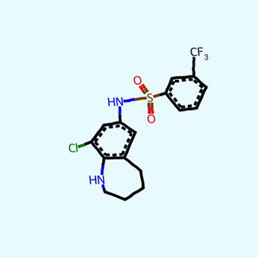 O=S(=O)(Nc1cc(Cl)c2c(c1)CCCCN2)c1cccc(C(F)(F)F)c1